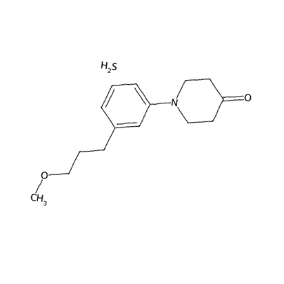 COCCCc1cccc(N2CCC(=O)CC2)c1.S